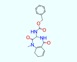 CN1C(=O)C(NC(=O)OCc2ccccc2)NC(=O)C2=C1CCC=C2